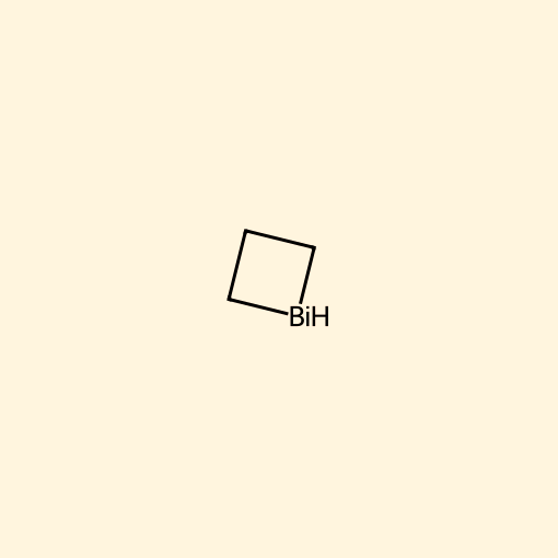 C1[CH2][BiH][CH2]1